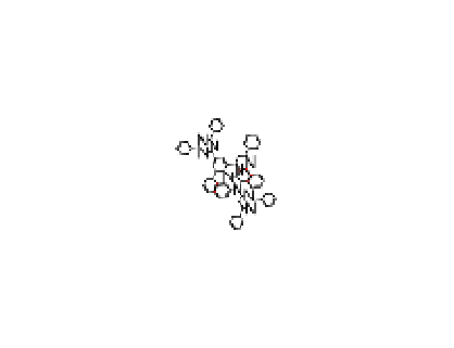 c1ccc(-c2cc(-c3cc(-c4nc(-c5ccccc5)nc(-c5ccccc5)n4)cc(-c4ccccc4)c3N3c4ccccc4N(c4cc(-c5ccccc5)nc(-c5ccccc5)n4)c4ccccc43)nc(-c3ccccc3)n2)cc1